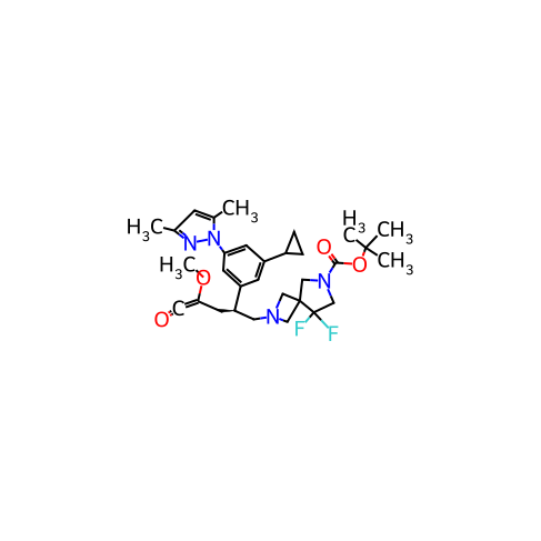 COC(=C=O)C[C@H](CN1CC2(C1)CN(C(=O)OC(C)(C)C)CC2(F)F)c1cc(C2CC2)cc(-n2nc(C)cc2C)c1